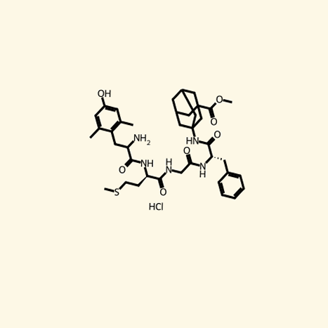 COC(=O)C12CC3CC(CC(NC(=O)[C@H](Cc4ccccc4)NC(=O)CNC(=O)[C@@H](CCSC)NC(=O)C(N)Cc4c(C)cc(O)cc4C)(C3)C1)C2.Cl